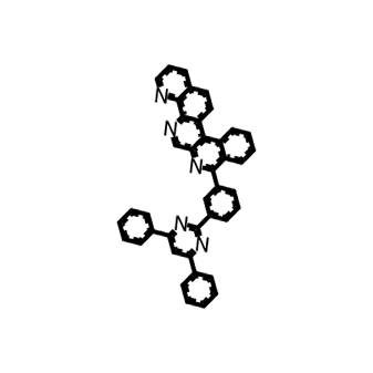 c1ccc(-c2cc(-c3ccccc3)nc(-c3cccc(-c4nc5cnc6c(ccc7cccnc76)c5c5ccccc45)c3)n2)cc1